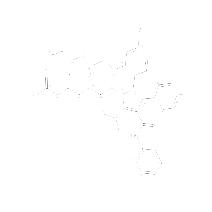 CC(C)c1c(C(=O)Nc2ccccc2)c(-c2ccccc2)c(-c2ccc(F)cc2OCCOCCN)n1CC[C@@H](O)C[C@@H](O)CC(=O)O